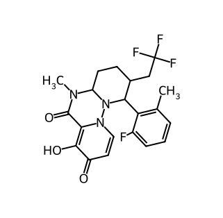 Cc1cccc(F)c1C1C(CC(F)(F)F)CCC2N(C)C(=O)c3c(O)c(=O)ccn3N12